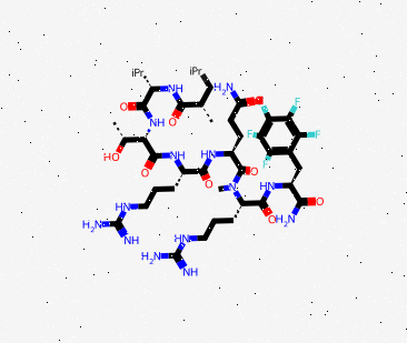 CC(C)C[C@H](C)C(=O)N[C@H](C(=O)N[C@H](C(=O)N[C@@H](CCCNC(=N)N)C(=O)N[C@@H](CCC(N)=O)C(=O)N(C)[C@@H](CCCNC(=N)N)C(=O)N[C@@H](Cc1c(F)c(F)c(F)c(F)c1F)C(N)=O)[C@@H](C)O)C(C)C